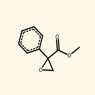 COC(=O)C1(c2ccccc2)CO1